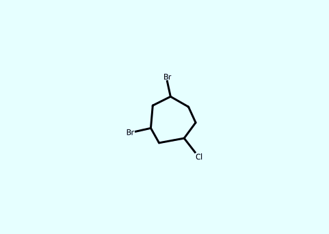 ClC1CCC(Br)CC(Br)C1